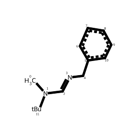 CN(C=NCc1ccccc1)C(C)(C)C